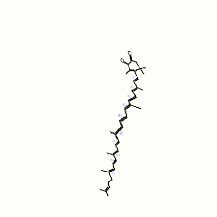 CC(C)=CCC/C(C)=C/C=C/C(C)=C/C=C/C(C)=C/C=C/C=C(C)/C=C/C=C(C)/C=C/C1=C(C)C(=O)C(=O)CC1(C)C